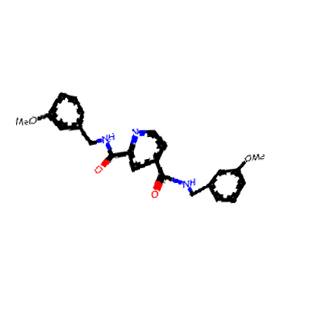 COc1cccc(CNC(=O)c2ccnc(C(=O)NCc3cccc(OC)c3)c2)c1